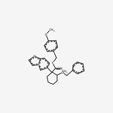 C/N=C(/SCc1ccc(OC)cc1)C1(c2ccc3nccn3c2)CCCCC1OCc1ccccc1